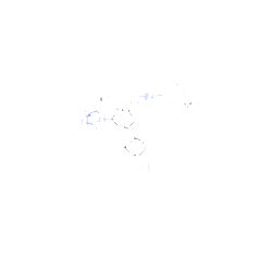 COCC(C)NC(=O)Oc1cc(-c2ccc(Cl)cc2F)cc(-n2nnnc2C(C)C)c1